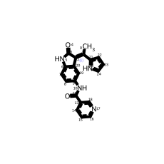 C/C(=C1\C(=O)Nc2ccc(NC(=O)c3cccnc3)cc21)c1ccc[nH]1